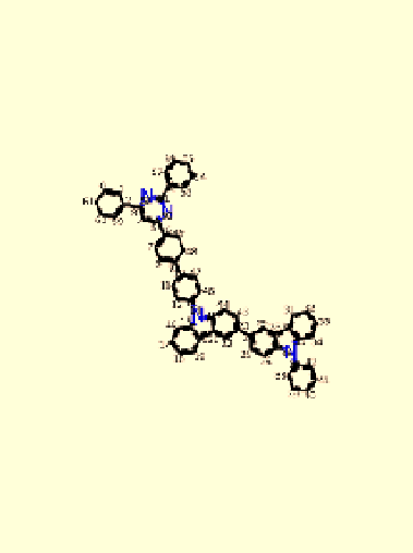 C1=CC(c2cc(C3=CC=C(c4ccc(-n5c6ccccc6c6cc(-c7ccc8c(c7)c7ccccc7n8-c7ccccc7)ccc65)cc4)CC3)nc(-c3ccccc3)n2)=CCC1